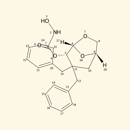 O=C(NO)O[C@@H]1[C@@H]2OC[C@H](CC1(Cc1ccccc1)Cc1ccccc1)O2